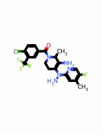 Cc1cc(N(N)C2=C(N)C(C)N(C(=O)c3ccc(Cl)c(C(F)(F)F)c3)CC2)ncc1F